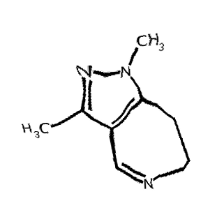 Cc1nn(C)c2c1C=NCC2